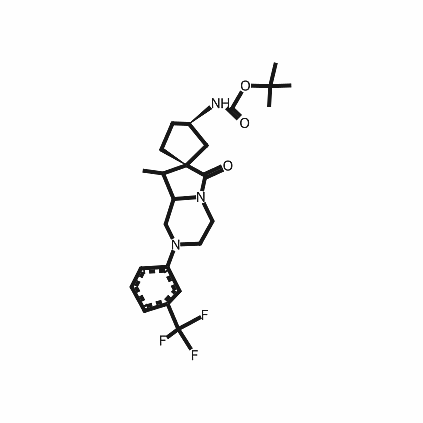 CC1C2CN(c3cccc(C(F)(F)F)c3)CCN2C(=O)[C@]12CC[C@@H](NC(=O)OC(C)(C)C)C2